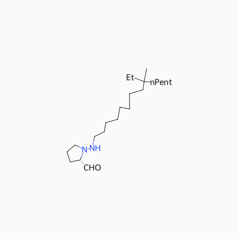 CCCCCC(C)(CC)CCCCCCCCNN1CCC[C@H]1C=O